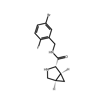 O=C(NCc1cc(Br)ccc1F)[C@H]1NC[C@@H]2C[C@@H]21